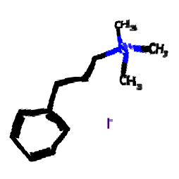 C[N+](C)(C)CCCc1ccccc1.[I-]